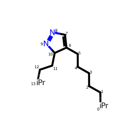 CC(C)CCCCCC1=CN=NC1CCC(C)C